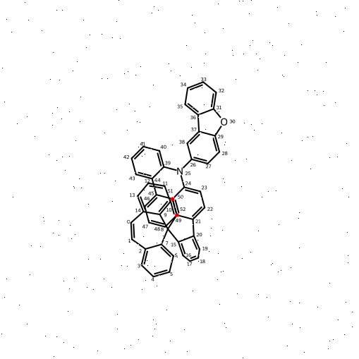 C1=Cc2ccccc2C2(c3ccccc31)c1ccccc1-c1ccc(N(c3ccc4oc5ccccc5c4c3)c3ccccc3-c3ccccc3)cc12